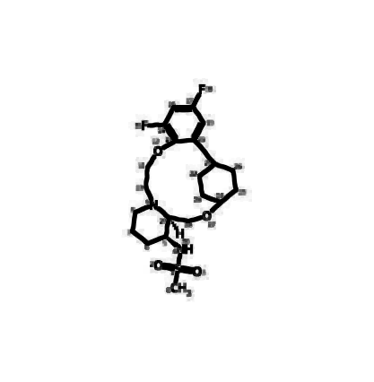 CS(=O)(=O)N[C@H]1CCCN2CCOc3c(F)cc(F)cc3C3CCC(CC3)OC[C@@H]12